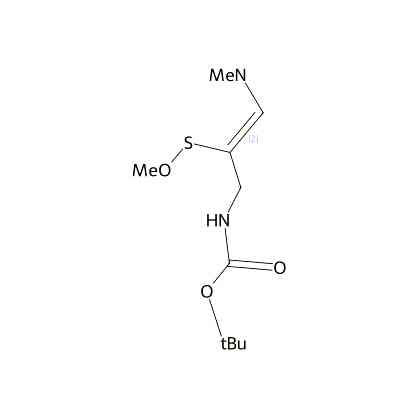 CN/C=C(/CNC(=O)OC(C)(C)C)SOC